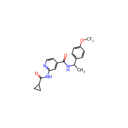 CC(NC(=O)c1ccnc(NC(=O)C2CC2)c1)c1ccc(OC(F)(F)F)cc1